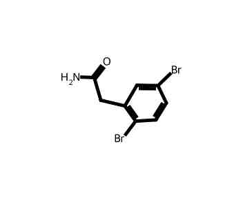 NC(=O)Cc1cc(Br)ccc1Br